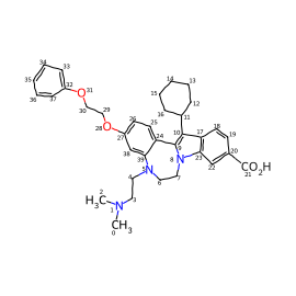 CN(C)CCN1CCn2c(c(C3CCCCC3)c3ccc(C(=O)O)cc32)-c2ccc(OCCOc3ccccc3)cc21